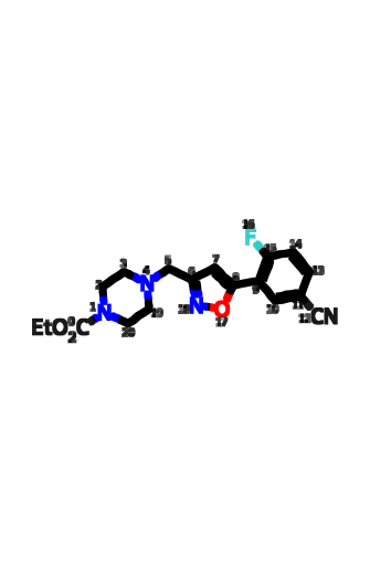 CCOC(=O)N1CCN(Cc2cc(-c3cc(C#N)ccc3F)on2)CC1